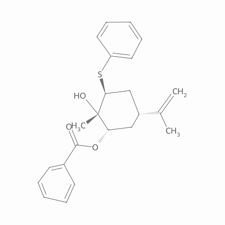 C=C(C)[C@@H]1C[C@H](OC(=O)c2ccccc2)[C@](C)(O)[C@@H](Sc2ccccc2)C1